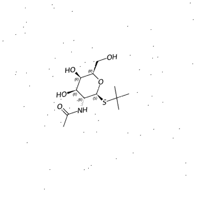 CC(=O)N[C@@H]1[C@@H](O)[C@@H](O)[C@@H](CO)O[C@H]1SC(C)(C)C